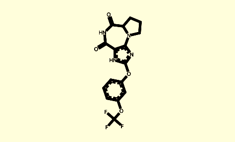 O=C1NC(=O)C2CCCN2c2nc(Oc3cccc(OC(F)(F)F)c3)[nH]c21